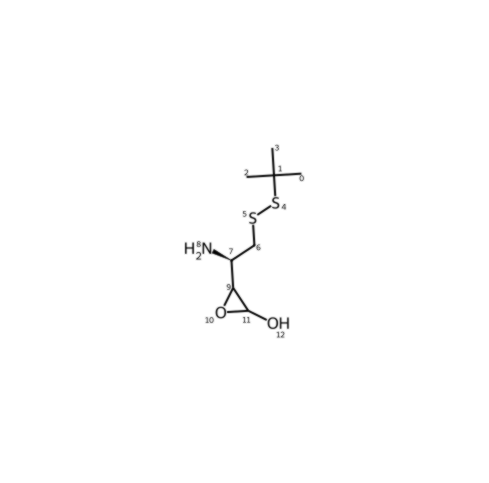 CC(C)(C)SSC[C@H](N)C1OC1O